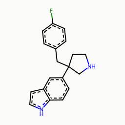 Fc1ccc(CC2(c3ccc4[nH]ccc4c3)CCNC2)cc1